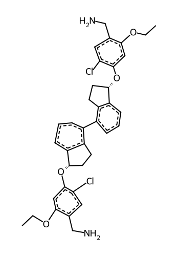 CCOc1cc(O[C@H]2CCc3c(-c4cccc5c4CC[C@@H]5Oc4cc(OCC)c(CN)cc4Cl)cccc32)c(Cl)cc1CN